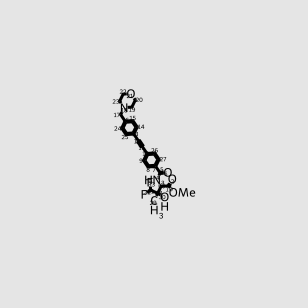 COC(=O)[C@@H](NC(=O)c1ccc(C#Cc2ccc(CN3CCOCC3)cc2)cc1)C(C)(O)C(F)F